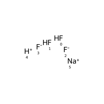 F.F.[F-].[F-].[H+].[Na+]